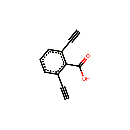 C#Cc1cccc(C#C)c1C(=O)O